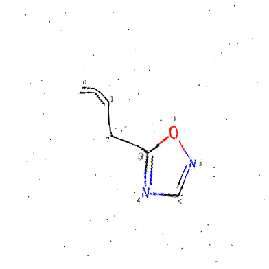 C=CCc1n[c]no1